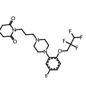 O=C1CCCC(=O)N1CCCN1CCN(c2cc(F)ccc2OCC(F)(F)C(F)F)CC1